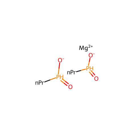 CCC[PH](=O)[O-].CCC[PH](=O)[O-].[Mg+2]